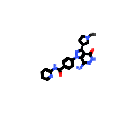 CCC(C)N1CC[C@@H](c2nn(-c3ccc(C(=O)Nc4ccccn4)cc3)c3c(N)n[nH]c(=O)c23)C1